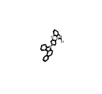 CCc1nc2cccc3c2n1-c1ccc(-n2c4ccccc4c4c5ccccc5ccc42)cc1O3